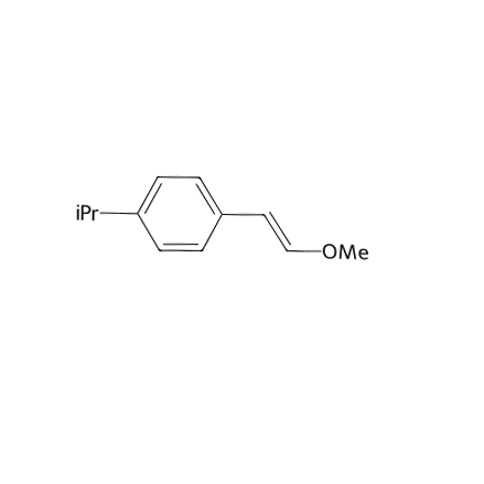 COC=Cc1ccc(C(C)C)cc1